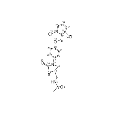 CC(=O)NCC1CN(c2ccc(OCc3c(Cl)cccc3Cl)cc2)C(=O)O1